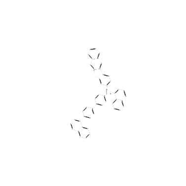 c1ccc2cc3c(cc2c1)sc1cc(N(c2ccc(-c4ccc(-c5cccc6ccccc56)cc4)cc2)c2cccc4ccccc24)ccc13